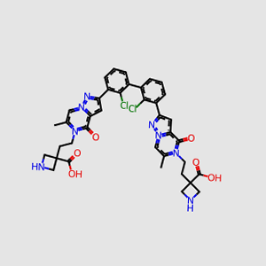 Cc1cn2nc(-c3cccc(-c4cccc(-c5cc6c(=O)n(CCC7(C(=O)O)CNC7)c(C)cn6n5)c4Cl)c3Cl)cc2c(=O)n1CCC1(C(=O)O)CNC1